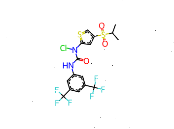 CC(C)S(=O)(=O)c1csc(N(Cl)C(=O)Nc2cc(C(F)(F)F)cc(C(F)(F)F)c2)c1